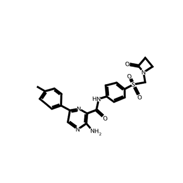 Cc1ccc(-c2cnc(N)c(C(=O)Nc3ccc(S(=O)(=O)CN4CCC4=O)cc3)n2)cc1